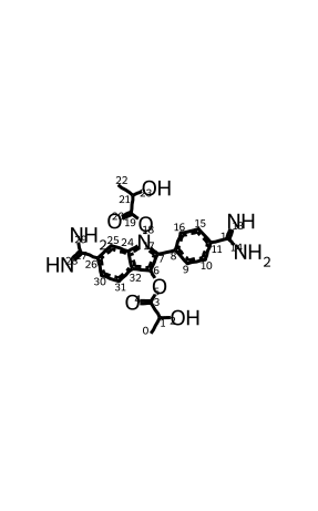 CC(O)C(=O)Oc1c(-c2ccc(C(=N)N)cc2)n(OC(=O)C(C)O)c2cc(C(=N)N)ccc12